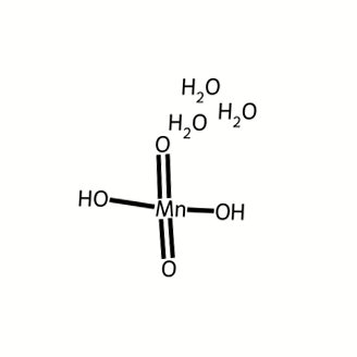 O.O.O.[O]=[Mn](=[O])([OH])[OH]